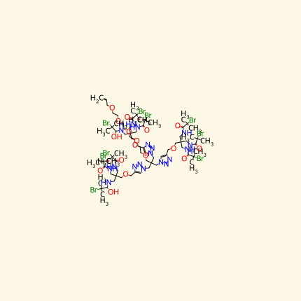 C=CCOCCOCCOCCOCCOCC(Cn1cc(COCC(CNC(=O)C(C)(C)Br)(CNC(=O)C(C)(C)Br)CNC(=O)C(C)(C)Br)nn1)(Cn1cc(COCC(CNC(=O)C(C)(C)Br)(CNC(=O)C(C)(C)Br)CNC(O)C(C)(C)Br)nn1)Cn1cc(COCC(CNC(=O)C(C)(C)Br)(CNC(=O)C(C)(C)Br)CNC(O)C(C)(C)Br)nn1